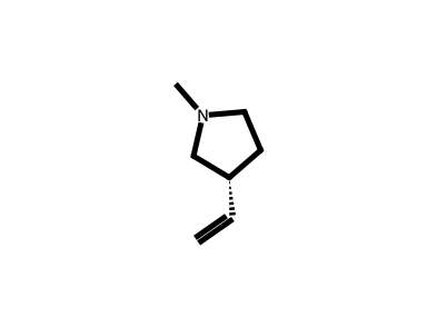 C=C[C@H]1CCN(C)C1